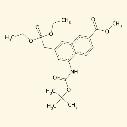 CCOP(=O)(Cc1cc(NC(=O)OC(C)(C)C)c2ccc(C(=O)OC)cc2c1)OCC